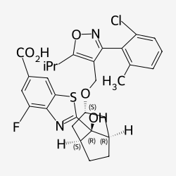 Cc1cccc(Cl)c1-c1noc(C(C)C)c1CO[C@@H]1C[C@H]2CC[C@@H](C1)[C@]2(O)c1nc2c(F)cc(C(=O)O)cc2s1